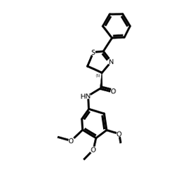 COc1cc(NC(=O)[C@H]2CSC(c3ccccc3)=N2)cc(OC)c1OC